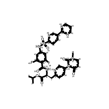 CC(C)OC(=O)[C@H](Cc1ccc(-n2c(=O)ccn(C)c2=O)cn1)NC(=O)c1c(F)cc(NS(=O)(=O)c2ccc(-c3ncccn3)cn2)cc1F